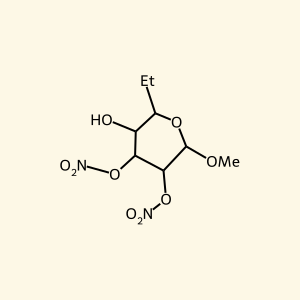 CCC1OC(OC)C(O[N+](=O)[O-])C(O[N+](=O)[O-])C1O